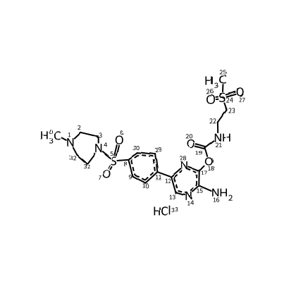 CN1CCN(S(=O)(=O)c2ccc(-c3cnc(N)c(OC(=O)NCCS(C)(=O)=O)n3)cc2)CC1.Cl